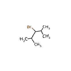 [CH2]C(C)C(Br)C(C)C